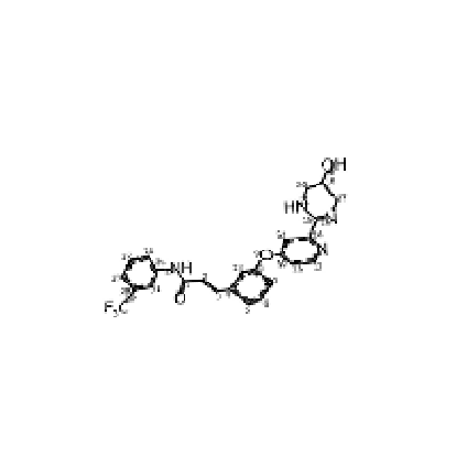 O=C(C=Cc1cccc(Oc2ccnc(C3=NCC(O)CN3)c2)c1)Nc1cccc(C(F)(F)F)c1